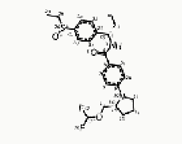 CC[C@H](NC(=O)c1ccc(N2CCC[C@H]2COC(F)F)cc1)c1ccc([S+]([O-])CC)cc1